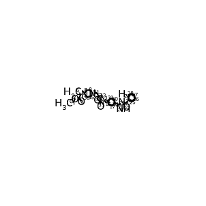 CCOC(=O)[C@H](C)N1CCN(CC2CN(c3ccc(C(=N)NC(=O)c4ccccc4)cc3)C(=O)O2)CC1